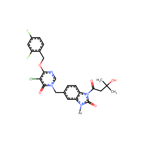 CC(=O)n1c(=O)n(C(=O)CC(C)(C)O)c2ccc(Cn3cnc(OCc4ccc(F)cc4F)c(Cl)c3=O)cc21